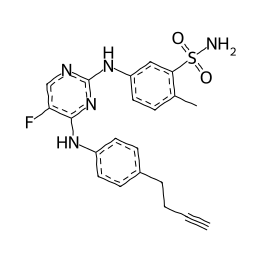 C#CCCc1ccc(Nc2nc(Nc3ccc(C)c(S(N)(=O)=O)c3)ncc2F)cc1